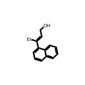 CCC(=CCO)c1cccc2ccccc12